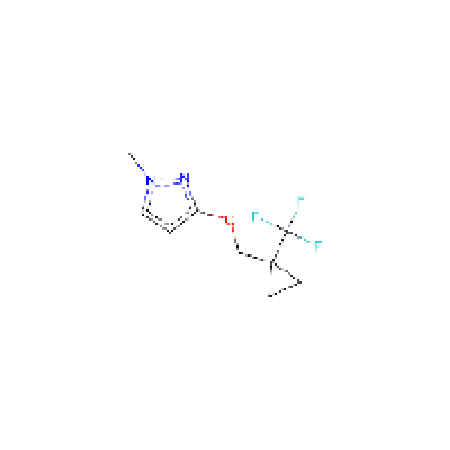 Cn1ccc(OCC2(C(F)(F)F)CC2)n1